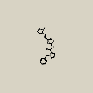 CN1CCC[C@@H]1/C=C/c1csc(NC(=O)c2cccn2Cc2ccncc2)n1